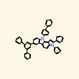 c1ccc(-c2ccc(-n3c4ccc(-c5cc(-c6ccccc6)cc(-c6ccccc6)c5)cc4c4ccc5c(cc(-c6ccccc6)n5-c5ccccc5)c43)cc2)cc1